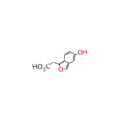 O=C(O)Cc1occ2cc(O)ccc12